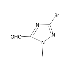 Cn1nc(Br)nc1C=O